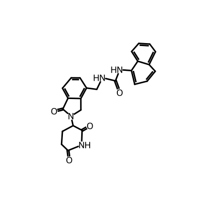 O=C1CCC(N2Cc3c(CNC(=O)Nc4cccc5ccccc45)cccc3C2=O)C(=O)N1